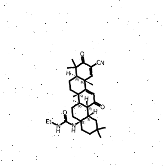 CCNC(=O)N[C@]12CCC(C)(C)C[C@H]1[C@H]1C(=O)C=C3[C@@]4(C)C=C(C#N)C(=O)C(C)(C)[C@@H]4CC[C@@]3(C)[C@]1(C)CC2